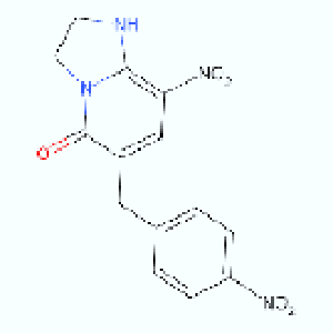 O=c1c(Cc2ccc([N+](=O)[O-])cc2)cc([N+](=O)[O-])c2n1CCN2